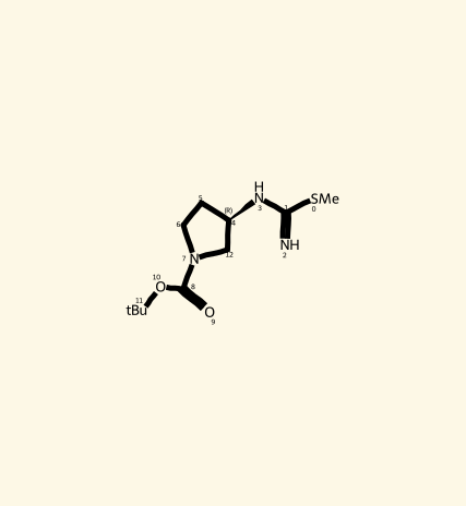 CSC(=N)N[C@@H]1CCN(C(=O)OC(C)(C)C)C1